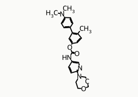 Cc1ccc(OC(=O)Nc2ccc(N3CCCOCC3)nc2)cc1-c1ccc(N(C)C)cc1